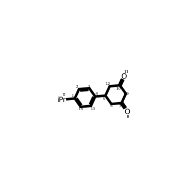 CC(C)c1ccc(C2CC(=O)CC(=O)C2)cc1